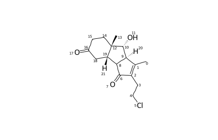 CC1=C(CCCl)C(=O)C2[C@H]1[C@@H](O)[C@@]1(C)CCC(=O)C[C@@H]21